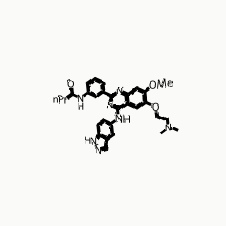 CCCC(=O)Nc1cccc(-c2nc(Nc3ccc4[nH]ncc4c3)c3cc(OCCN(C)C)c(OC)cc3n2)c1